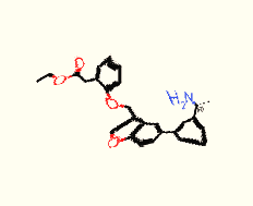 CCOC(=O)Cc1ccccc1OCc1coc2ccc(-c3cccc([C@@H](C)N)c3)cc12